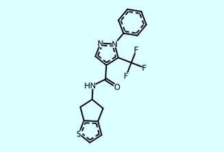 O=C(NC1Cc2ccsc2C1)c1cnn(-c2ccccc2)c1C(F)(F)F